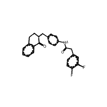 O=C(Cc1ccc(F)c(F)c1)Nc1ccc(CC2CCc3ccccc3C2=O)cc1